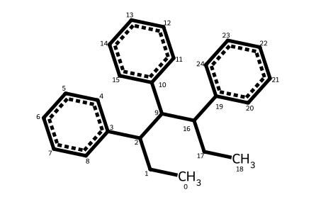 CCC(c1ccccc1)C(c1ccccc1)C(CC)c1ccccc1